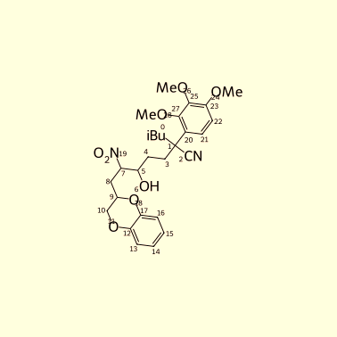 CCC(C)C(C#N)(CCC(O)C(CC1COc2ccccc2O1)[N+](=O)[O-])c1ccc(OC)c(OC)c1OC